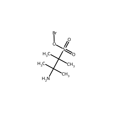 CC(C)(N)C(C)(C)S(=O)(=O)OBr